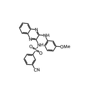 COc1cccc(Nc2nc3ccccc3nc2NS(=O)(=O)c2cccc(C#N)c2)c1